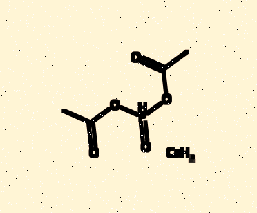 CC(=O)O[PH](=O)OC(C)=O.[CaH2]